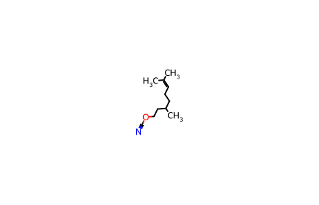 CC(C)=CCCC(C)CCOC#N